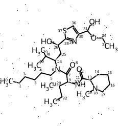 CCCCCCN(C(=O)[C@@H](NC(=O)[C@H]1CCCCN1C)[C@@H](C)CC)[C@H](C[C@@H](O)c1nc(C(O)OCC)cs1)C(C)C